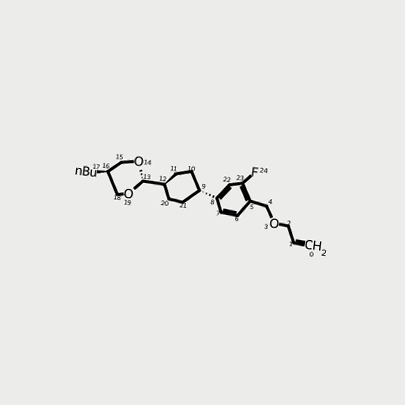 C=CCOCc1ccc([C@H]2CC[C@H]([C@H]3OC[C@H](CCCC)CO3)CC2)cc1F